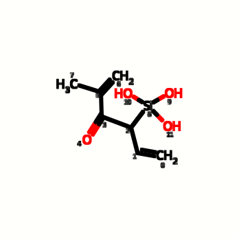 C=CC(C(=O)C(=C)C)[Si](O)(O)O